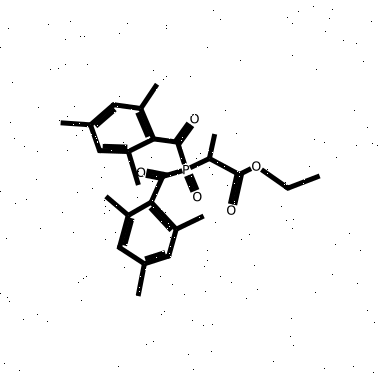 CCOC(=O)C(C)P(=O)(C(=O)c1c(C)cc(C)cc1C)C(=O)c1c(C)cc(C)cc1C